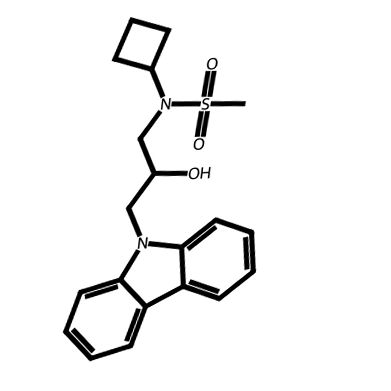 CS(=O)(=O)N(CC(O)Cn1c2ccccc2c2ccccc21)C1CCC1